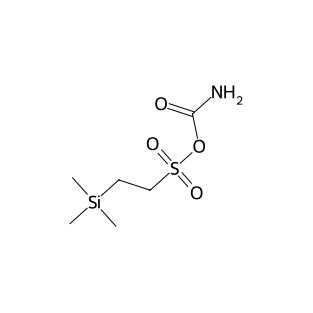 C[Si](C)(C)CCS(=O)(=O)OC(N)=O